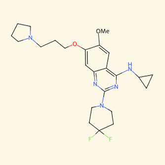 COc1cc2c(NC3CC3)nc(N3CCC(F)(F)CC3)nc2cc1OCCCN1CCCC1